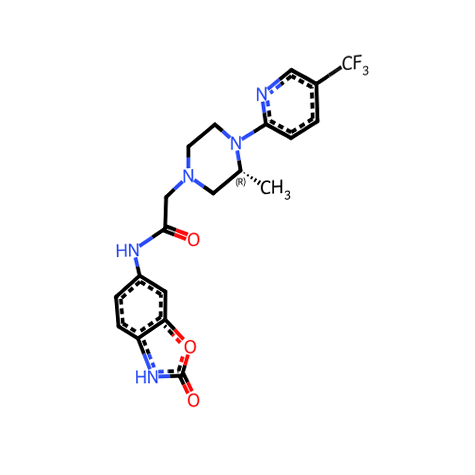 C[C@@H]1CN(CC(=O)Nc2ccc3[nH]c(=O)oc3c2)CCN1c1ccc(C(F)(F)F)cn1